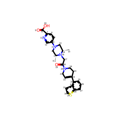 C[C@@H]1CN(c2ccc(C(=O)O)nc2)C[C@H](C)N1CC(=O)N1CC=C(c2cccc3sccc23)CC1